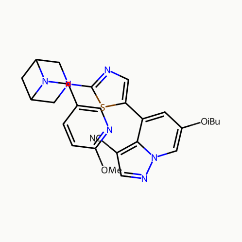 COc1ccc(CN2C3CC2CN(c2ncc(-c4cc(OCC(C)C)cn5ncc(C#N)c45)s2)C3)cn1